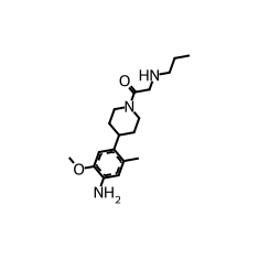 CCCNCC(=O)N1CCC(c2cc(OC)c(N)cc2C)CC1